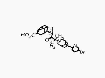 CC(C)(C(=O)NC1C2CC3CC1CC(C(=O)O)(C3)C2)N1CC2CC(CN(c3ccc(Br)cn3)C2)C1